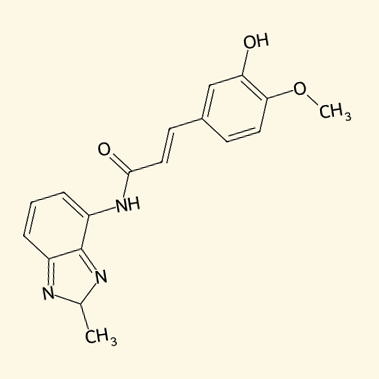 COc1ccc(C=CC(=O)Nc2cccc3c2=NC(C)N=3)cc1O